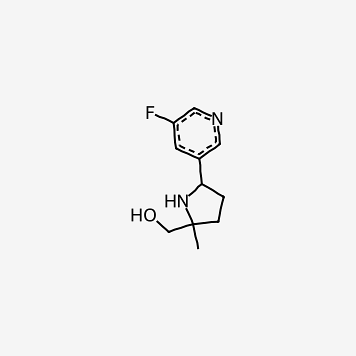 CC1(CO)CCC(c2cncc(F)c2)N1